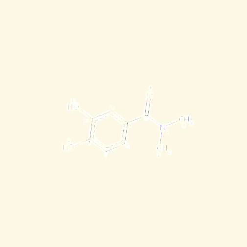 CN(C)C(=O)c1ccc(O)c(O)c1